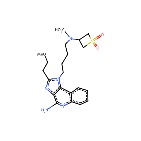 COCCc1nc2c(N)nc3ccccc3c2n1CCCCN(C(=O)O)C1CS(=O)(=O)C1